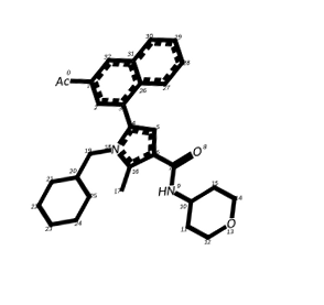 CC(=O)c1cc(-c2cc(C(=O)NC3CCOCC3)c(C)n2CC2CCCCC2)c2ccccc2c1